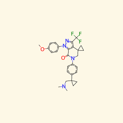 COc1ccc(-n2nc(C(F)(F)F)c3c2C(=O)N(c2ccc(C4(CN(C)C)CC4)cc2)CC32CC2)cc1